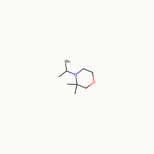 CC(N1CCOCC1(C)C)C(C)(C)C